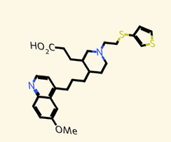 COc1ccc2nccc(CCCC3CCN(CCSc4ccsc4)CC3CCC(=O)O)c2c1